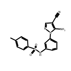 Cc1ccc(S(=O)(=O)Nc2cccc(-n3ncc(C#N)c3N)c2)cc1